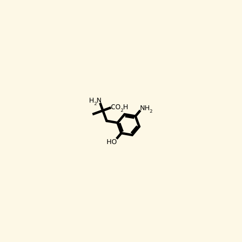 CC(N)(Cc1cc(N)ccc1O)C(=O)O